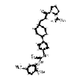 COC(=O)[C@H]1CCCN1C(=O)CCC1CCC(c2ccc(NC(=O)Nc3cc(C)ccc3OC)cc2)CC1